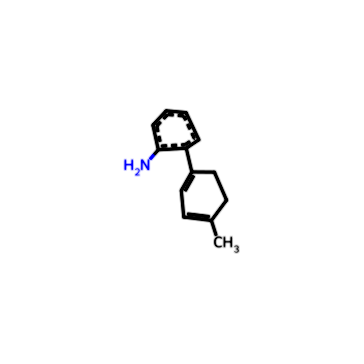 CC1=CC=C(c2ccccc2N)CC1